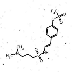 CN(C)CCCS(=O)(=O)NC=Cc1ccc(OS(=O)(=O)C(F)(F)F)cc1